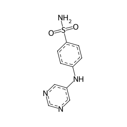 NS(=O)(=O)c1ccc(Nc2cncnc2)cc1